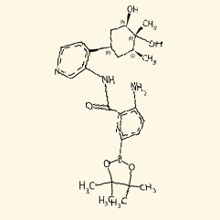 C[C@H]1C[C@@H](c2ccncc2NC(=O)c2nc(B3OC(C)(C)C(C)(C)O3)ccc2N)C[C@@H](O)[C@]1(C)O